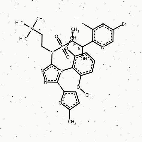 COc1cccc(OC)c1-n1c(-c2ccc(C)o2)nnc1N(CC[Si](C)(C)C)S(=O)(=O)[C@@H](C)[C@H](O)c1ncc(Br)cc1F